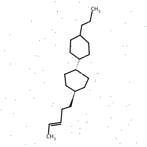 C/C=C/CC[C@H]1CC[C@H](C2CCC(CCC)CC2)CC1